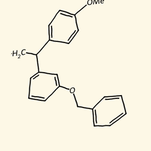 [CH2]C(c1ccc(OC)cc1)c1cccc(OCc2ccccc2)c1